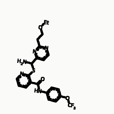 CCOCCc1nccc(C(N)Sc2ncccc2C(=O)Nc2ccc(OC(F)(F)F)cc2)n1